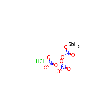 Cl.O=[N+]([O-])[O-].O=[N+]([O-])[O-].O=[N+]([O-])[O-].[SbH3]